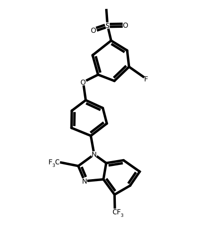 CS(=O)(=O)c1cc(F)cc(Oc2ccc(-n3c(C(F)(F)F)nc4c(C(F)(F)F)cccc43)cc2)c1